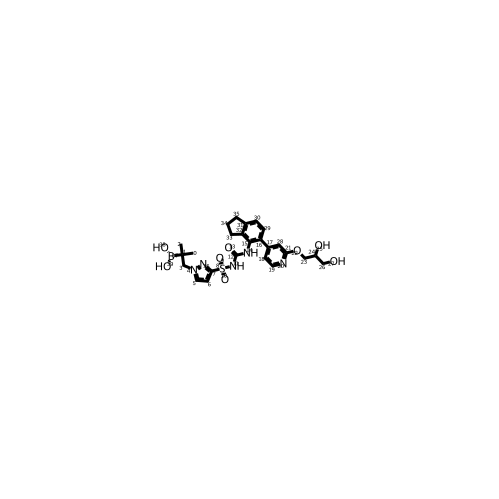 CC(C)(Cn1ccc(S(=O)(=O)NC(=O)Nc2c(-c3ccnc(OCC(O)CO)c3)ccc3c2CCC3)n1)B(O)O